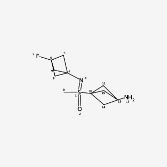 CS(=O)(=NC12CC(F)(C1)C2)C12CC(N)(C1)C2